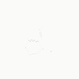 COc1ccccc1/C=N/O